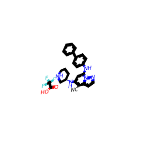 N#Cc1c(N[C@H]2CCCNC2)cc(Nc2ccc(-c3ccccc3)cc2)n2nccc12.O=C(O)C(F)(F)F